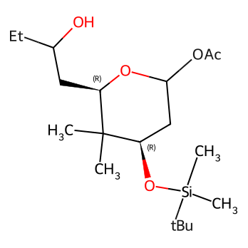 CCC(O)C[C@H]1OC(OC(C)=O)C[C@@H](O[Si](C)(C)C(C)(C)C)C1(C)C